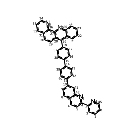 c1ccc(-c2ccc3ccc(-c4ccc(-c5ccc(-c6c7ccccc7nc7c6ccc6cccnc67)cc5)cc4)cc3n2)nc1